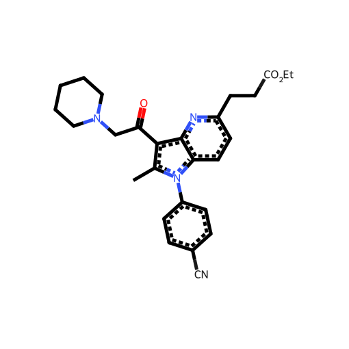 CCOC(=O)CCc1ccc2c(n1)c(C(=O)CN1CCCCC1)c(C)n2-c1ccc(C#N)cc1